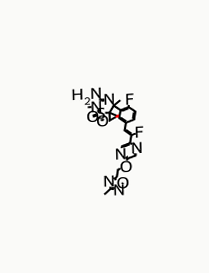 Cc1noc(COc2cnc(C(F)=Cc3ccc(F)c(C4(C)N=C(N)N(C)S(=O)(=O)C45CC5)c3)cn2)n1